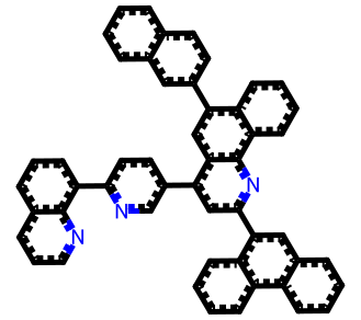 c1ccc2cc(-c3cc4c(-c5ccc(-c6cccc7cccnc67)nc5)cc(-c5cc6ccccc6c6ccccc56)nc4c4ccccc34)ccc2c1